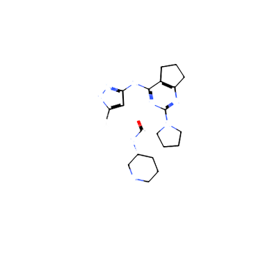 CC(C)c1cc(Nc2nc(N3CCC[C@@H]3C(=O)N[C@H]3CCCNC3)nc3c2CCC3)n[nH]1